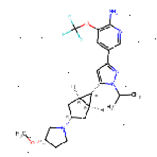 CO[C@H]1CCN([C@@H]2C[C@@H]3[C@H](C2)[C@H]3c2cc(-c3cnc(N)c(OC(F)(F)F)c3)nn2C(C)C)C1